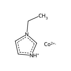 CCn1cc[nH+]c1.[Co+2]